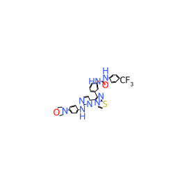 O=C(Nc1ccc(C(F)(F)F)cc1)Nc1cccc(-c2nc3sccn3c2-c2ccnc(Nc3ccc(N4CCOCC4)cc3)n2)c1